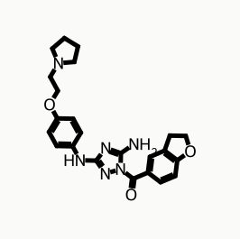 Nc1nc(Nc2ccc(OCCN3CCCC3)cc2)nn1C(=O)c1ccc2c(c1)CCO2